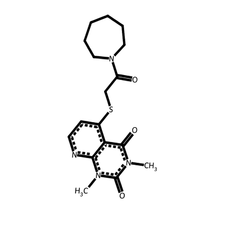 Cn1c(=O)c2c(SCC(=O)N3CCCCCC3)ccnc2n(C)c1=O